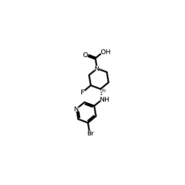 O=C(O)N1CC[C@H](Nc2cncc(Br)c2)C(F)C1